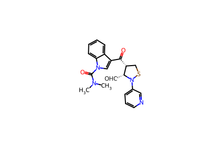 CN(C)C(=O)n1cc(C(=O)[C@@H]2CSN(c3cccnc3)[C@@H]2C=O)c2ccccc21